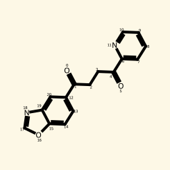 O=C(CCC(=O)c1ccccn1)c1ccc2ocnc2c1